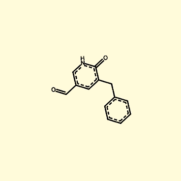 O=Cc1c[nH]c(=O)c(Cc2ccccc2)c1